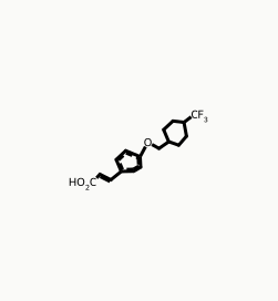 O=C(O)C=Cc1ccc(OCC2CCC(C(F)(F)F)CC2)cc1